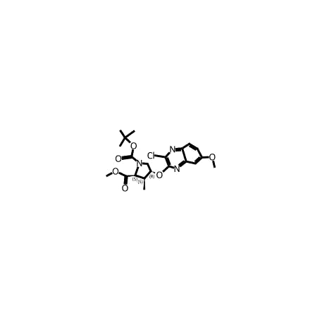 COC(=O)[C@@H]1[C@H](C)[C@@H](Oc2nc3cc(OC)ccc3nc2Cl)CN1C(=O)OC(C)(C)C